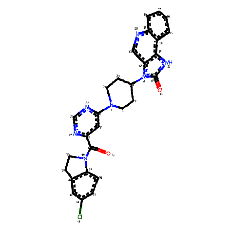 O=C(c1cc(N2CCC(n3c(=O)[nH]c4c5ccccc5ncc43)CC2)ncn1)N1CCc2cc(Cl)ccc21